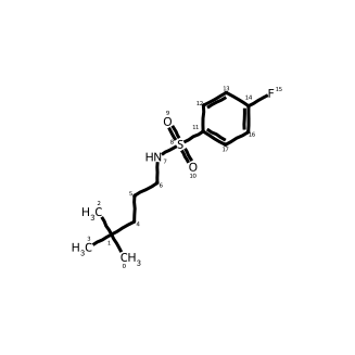 CC(C)(C)CCCNS(=O)(=O)c1ccc(F)cc1